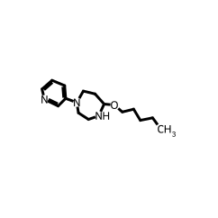 CCCCCOC1CCN(c2cccnc2)CCN1